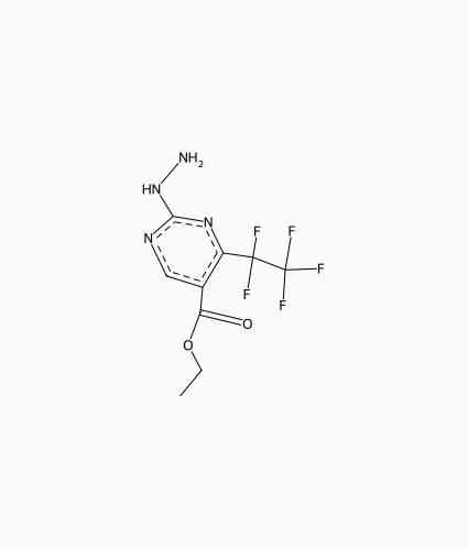 CCOC(=O)c1cnc(NN)nc1C(F)(F)C(F)(F)F